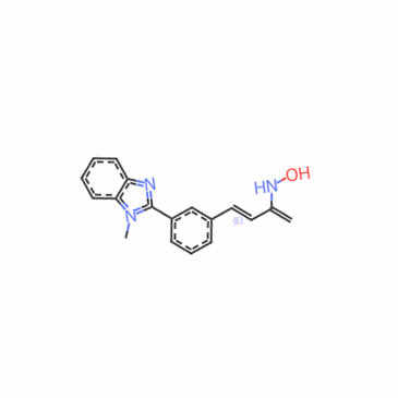 C=C(/C=C/c1cccc(-c2nc3ccccc3n2C)c1)NO